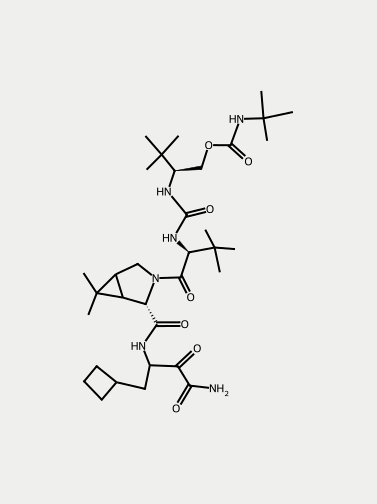 CC(C)(C)NC(=O)OC[C@@H](NC(=O)N[C@H](C(=O)N1CC2C([C@H]1C(=O)NC(CC1CCC1)C(=O)C(N)=O)C2(C)C)C(C)(C)C)C(C)(C)C